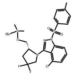 Cc1ccc(S(=O)(=O)n2nc(N3CC(F)(F)C[C@@H]3CO[Si](C)(C)C(C)(C)C)c3c(Cl)cccc32)cc1